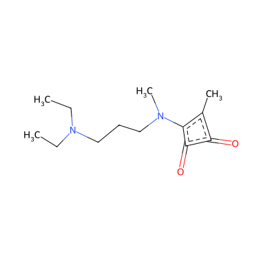 CCN(CC)CCCN(C)c1c(C)c(=O)c1=O